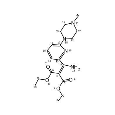 CCOC(=O)C(C(=O)OCC)=C(N)c1cccc(N2CCN(C)CC2)n1